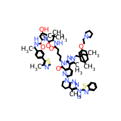 Cc1ncsc1-c1ccc([C@H](C)NC(=O)[C@@H]2C[C@@H](O)CN2C(=O)[C@@H](NC(=O)CCCCNC(=O)c2nc(N3CCCc4c3nnc(Nc3nc5ccccc5s3)c4C)ccc2-c2cnn(CC34CC5(C)CC(C)(C3)CC(OCCN3CCCC3)(C5)C4)c2C)C(C)(C)C)cc1